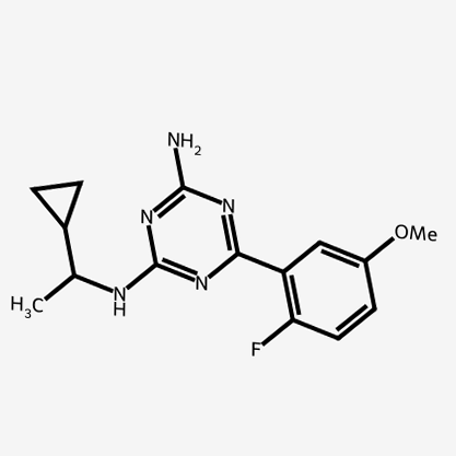 COc1ccc(F)c(-c2nc(N)nc(NC(C)C3CC3)n2)c1